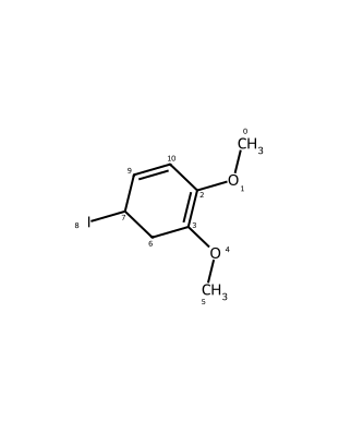 COC1=C(OC)CC(I)C=C1